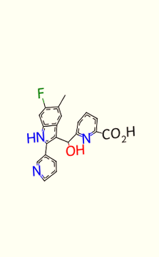 Cc1cc2c(C(O)c3cccc(C(=O)O)n3)c(-c3cccnc3)[nH]c2cc1F